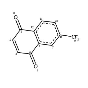 O=C1C=CC(=O)c2cc(C(F)(F)F)ccc21